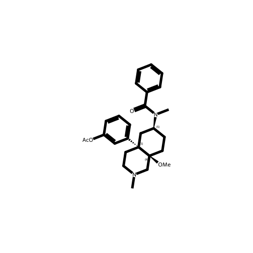 CO[C@]12CC[C@H](N(C)C(=O)c3ccccc3)C[C@]1(c1cccc(OC(C)=O)c1)CCN(C)C2